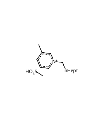 CCCCCCCC[n+]1cccc(C)c1.CS(=O)(=O)O